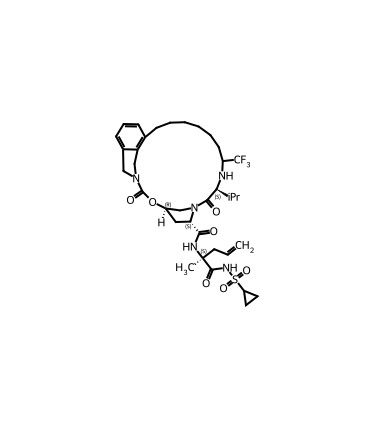 C=CC[C@](C)(NC(=O)[C@@H]1C[C@@H]2CN1C(=O)[C@H](C(C)C)NC(C(F)(F)F)CCCCCCc1cccc3c1CN(C3)C(=O)O2)C(=O)NS(=O)(=O)C1CC1